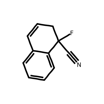 N#CC1(F)CC=Cc2ccccc21